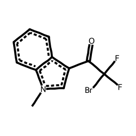 Cn1cc(C(=O)C(F)(F)Br)c2ccccc21